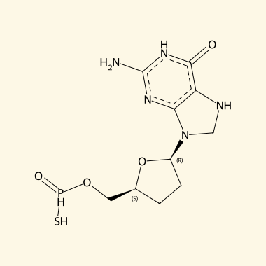 Nc1nc2c(c(=O)[nH]1)NCN2[C@H]1CC[C@@H](CO[PH](=O)S)O1